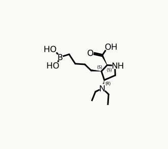 CCN(CC)[C@H]1CN[C@H](C(=O)O)[C@@H]1CCCCB(O)O